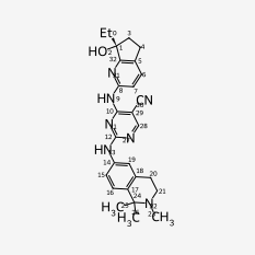 CC[C@@]1(O)CCc2ccc(Nc3nc(Nc4ccc5c(c4)CCN(C)C5(C)C)ncc3C#N)nc21